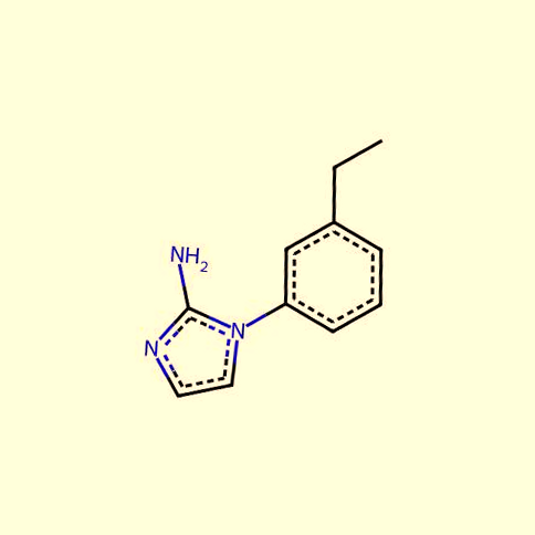 CCc1cccc(-n2ccnc2N)c1